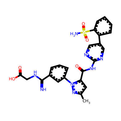 Cc1cc(C(=O)Nc2ncc(-c3ccccc3S(N)(=O)=O)cn2)n(-c2cccc(C(=N)NCC(=O)O)c2)n1